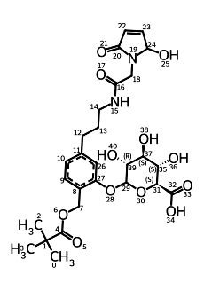 CC(C)(C)C(=O)OCc1ccc(CCCNC(=O)CN2C(=O)C=CC2O)cc1OC1O[C@H](C(=O)O)[C@@H](O)[C@H](O)[C@H]1O